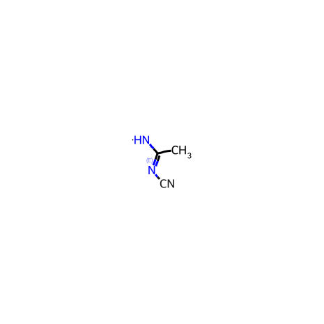 C/C([NH])=N\C#N